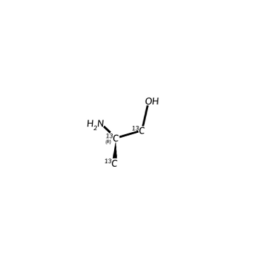 [13CH3][13C@@H](N)[13CH2]O